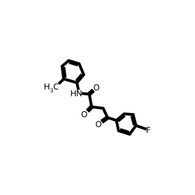 Cc1ccccc1NC(=O)C(=O)CC(=O)c1ccc(F)cc1